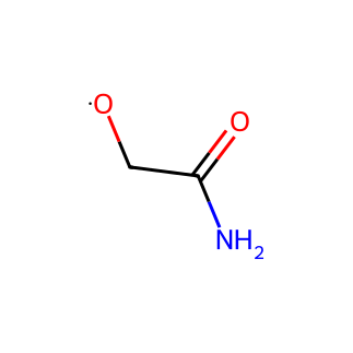 NC(=O)C[O]